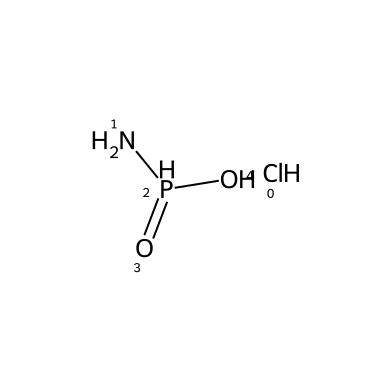 Cl.N[PH](=O)O